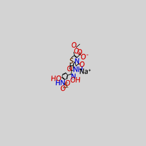 CC(=O)OCC1=C(C(=O)[O-])N2C(=O)[C@@H](NC(=O)C(=NO)c3ccc(O)c(NS(C)(=O)=O)c3)[C@H]2SC1.[Na+]